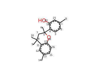 Cc1ccc(C2(C)CC(C)(C)c3cc(C)ccc3O2)c(O)c1